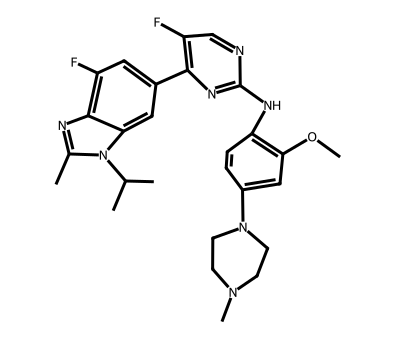 COc1cc(N2CCN(C)CC2)ccc1Nc1ncc(F)c(-c2cc(F)c3nc(C)n(C(C)C)c3c2)n1